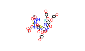 CCn1cc(C[N+]2(CC3=C(C(=O)OCc4ccc(OC)cc4)N4C(=O)[C@@H](NC(=O)C(=NOC(C)(C)C(=O)OC(C)(C)C)c5csc(NC(=O)OC(C)(C)C)n5)[C@H]4SC3)CCCC2)c(=O)c2cc(OCc3ccc(OC)cc3)c(OCc3ccc(OC)cc3)c(F)c21